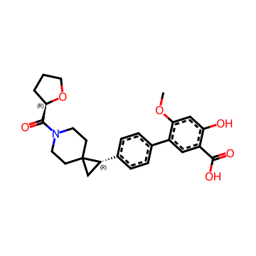 COc1cc(O)c(C(=O)O)cc1-c1ccc([C@@H]2CC23CCN(C(=O)[C@H]2CCCO2)CC3)cc1